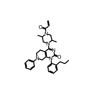 C=CC(=O)N1CC(C)N(c2nc(=O)n(-c3ccccc3CCC)c3c2CCN(c2ccccc2)C3)CC1C